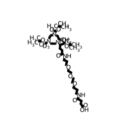 CC1CN(C(=O)OC(C)(C)C)CCN(C(=O)OC(C)(C)C)CCN1C(CCC(=O)NCCCOCCOCCOCCCNC(=O)CCC(=O)O)C(=O)OC(C)(C)C